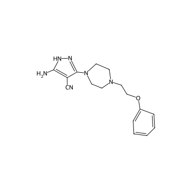 N#Cc1c(N2CCN(CCOc3ccccc3)CC2)n[nH]c1N